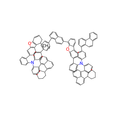 CC1CC=Cc2oc3cc(-c4ccccc4N(c4ccc(-c5ccc(-c6cccc7cc(-c8cccc9c8oc8cc(-c%10ccccc%10N(c%10ccc(-c%11cccc%12c%11ccc%11ccccc%11%12)cc%10)c%10ccccc%10-c%10cccc%11cccc(C%12CCCCC%12)c%10%11)ccc89)ccc67)cc5)cc4)c4ccccc4-c4cccc5cccc(C6CCCCC6)c45)ccc3c21